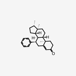 C[C@H]1CC[C@H]2[C@@H]3[C@H](c4ccccc4)CC4=CC(=O)CC[C@]4(C)[C@H]3CC[C@]12C